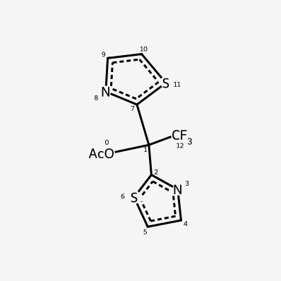 CC(=O)OC(c1nccs1)(c1nccs1)C(F)(F)F